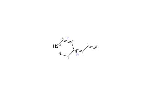 C=C/C=C(\C=C/S)CC